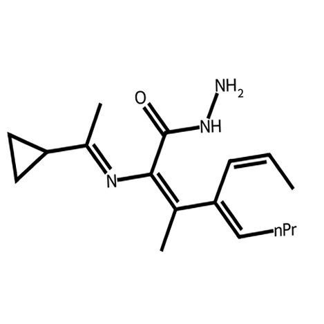 C\C=C/C(=C\CCC)C(/C)=C(/N=C(\C)C1CC1)C(=O)NN